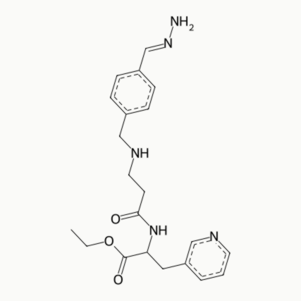 CCOC(=O)C(Cc1cccnc1)NC(=O)CCNCc1ccc(C=NN)cc1